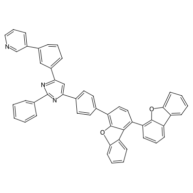 c1ccc(-c2nc(-c3ccc(-c4ccc(-c5cccc6c5oc5ccccc56)c5c4oc4ccccc45)cc3)cc(-c3cccc(-c4cccnc4)c3)n2)cc1